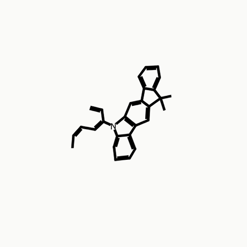 C=C/C(=C\C=C/C)n1c2ccccc2c2cc3c(cc21)-c1ccccc1C3(C)C